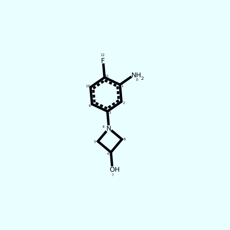 Nc1cc(N2CC(O)C2)ccc1F